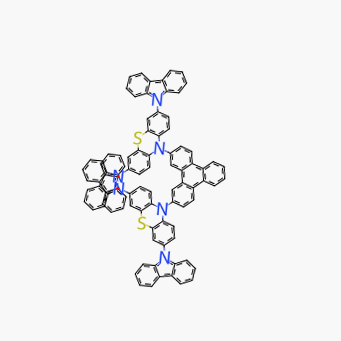 c1ccc2c(c1)c1ccc(N3c4ccc(-n5c6ccccc6c6ccccc65)cc4Sc4cc(-n5c6ccccc6c6ccccc65)ccc43)cc1c1cc(N3c4ccc(-n5c6ccccc6c6ccccc65)cc4Sc4cc(-n5c6ccccc6c6ccccc65)ccc43)ccc21